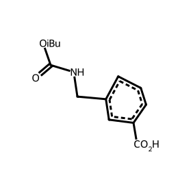 CC(C)COC(=O)NCc1cccc(C(=O)O)c1